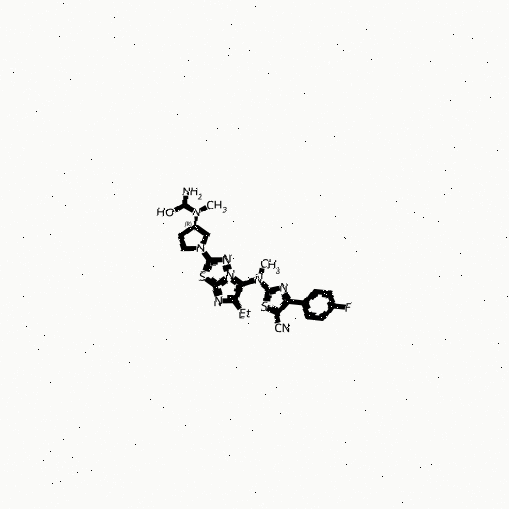 CCc1nc2sc(N3CC[C@@H](N(C)C(N)O)C3)nn2c1N(C)c1nc(-c2ccc(F)cc2)c(C#N)s1